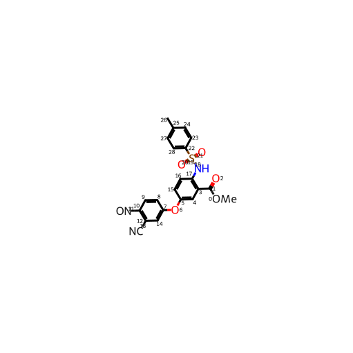 COC(=O)c1cc(Oc2ccc(N=O)c(C#N)c2)ccc1NS(=O)(=O)c1ccc(C)cc1